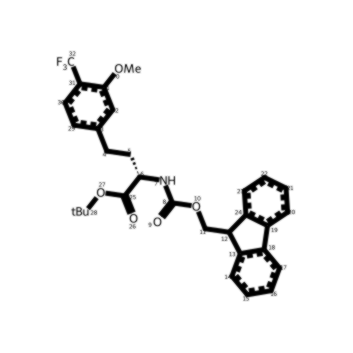 COc1cc(CC[C@H](NC(=O)OCC2c3ccccc3-c3ccccc32)C(=O)OC(C)(C)C)ccc1C(F)(F)F